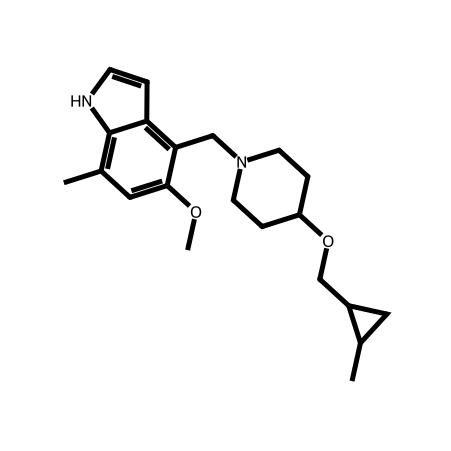 COc1cc(C)c2[nH]ccc2c1CN1CCC(OCC2CC2C)CC1